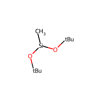 C[Si](OC(C)(C)C)OC(C)(C)C